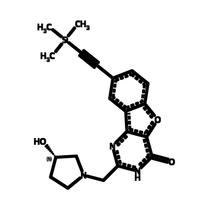 C[Si](C)(C)C#Cc1ccc2oc3c(=O)[nH]c(CN4CC[C@H](O)C4)nc3c2c1